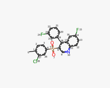 Cc1ccc(S(=O)(=O)c2cnc3ccc(F)cc3c2-c2cccc(F)c2)cc1Cl